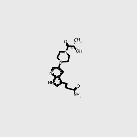 C[C@H](O)C(=O)N1CCN(c2cnc3[nH]cc(C=CC(N)=O)c3c2)CC1